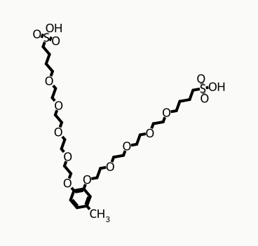 Cc1ccc(OCCOCCOCCOCCOCCCCS(=O)(=O)O)c(OCCOCCOCCOCCOCCCCS(=O)(=O)O)c1